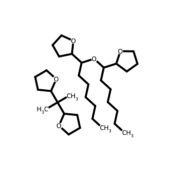 CC(C)(C1CCCO1)C1CCCO1.CCCCCCC(OC(CCCCCC)C1CCCO1)C1CCCO1